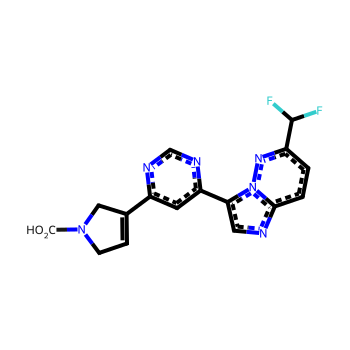 O=C(O)N1CC=C(c2cc(-c3cnc4ccc(C(F)F)nn34)ncn2)C1